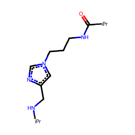 CC(C)NCc1cn(CCCNC(=O)C(C)C)cn1